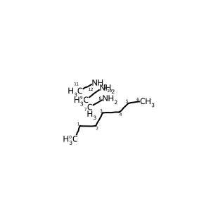 CCCCCCC.CN.CN.CN